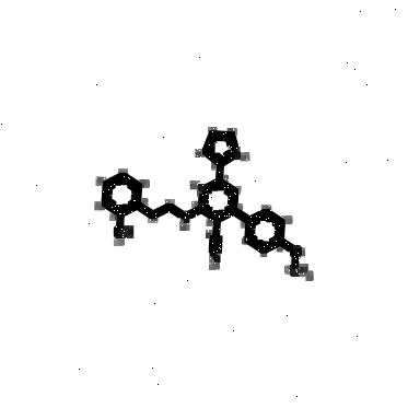 COc1ccc(-c2cc(-c3cccs3)nc(SCCc3ccccc3O)c2C#N)cc1